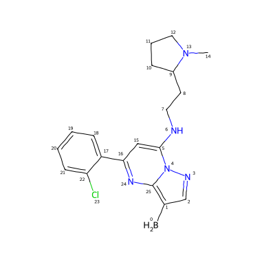 Bc1cnn2c(NCCC3CCCN3C)cc(-c3ccccc3Cl)nc12